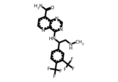 CNCC(Nc1ncnc2c(C(N)=O)ccnc12)c1ccc(C(F)(F)F)c(C(F)(F)F)c1